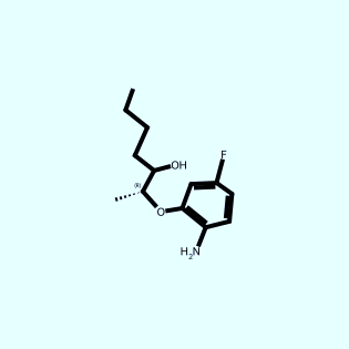 CCCCC(O)[C@@H](C)Oc1cc(F)ccc1N